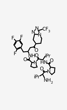 CC(C)C(N)C(=O)N1CCCC1C(=O)NC(C(=O)N1CCCC1C(=O)NC(CC(=O)C1CCn2c(nnc2C(F)(F)F)C1)Cc1cc(F)c(F)cc1F)C(C)C